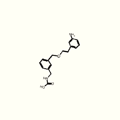 Nc1cccc(CCOCc2cccc(CNC(=O)O)c2)c1